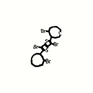 Brc1c(C2CCCCCCCC(Br)C2)sc2c(Br)c(C3CCCCCCCC(Br)C3)sc12